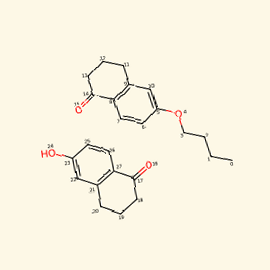 CCCCOc1ccc2c(c1)CCCC2=O.O=C1CCCc2cc(O)ccc21